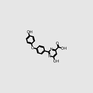 O=C(O)c1cc(O)nc(-c2ccc(Oc3ccc(O)cc3)cc2)n1